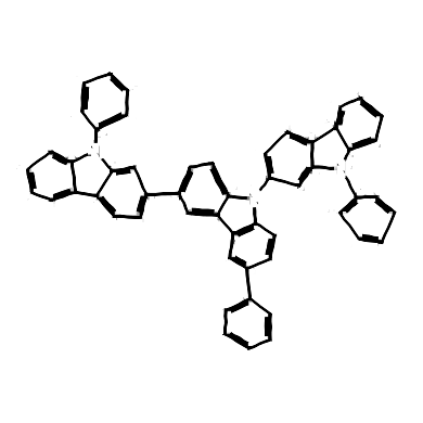 c1ccc(-c2ccc3c(c2)c2cc(-c4ccc5c6ccccc6n(-c6ccccc6)c5c4)ccc2n3-c2ccc3c4ccccc4n(-c4ccccc4)c3c2)cc1